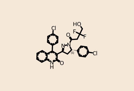 O=C(CC(F)(F)CO)N1N=C(c2c(-c3ccc(Cl)cc3)c3ccccc3[nH]c2=O)C[C@H]1c1ccc(Cl)cc1